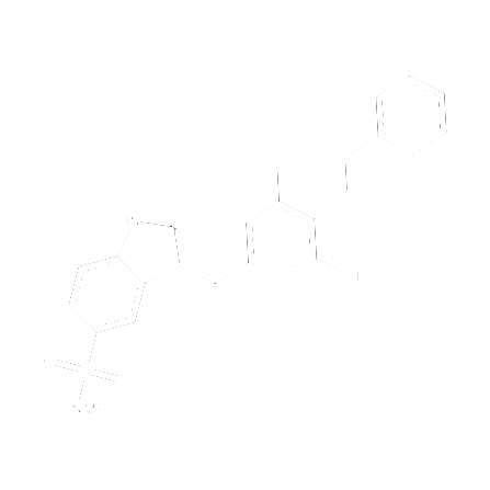 CNS(=O)(=O)c1ccc2c(c1)C(=Cc1cc(Cl)c(OCc3ccccc3)c(C(C)(C)C)c1)C(=O)N2